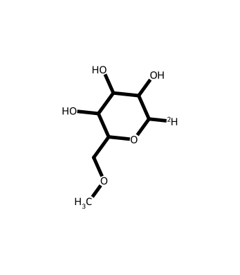 [2H]C1OC(COC)C(O)C(O)C1O